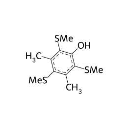 CSc1c(C)c(SC)c(O)c(SC)c1C